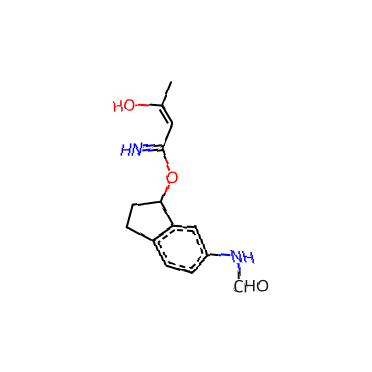 C/C(O)=C/C(=N)OC1CCc2ccc(NC=O)cc21